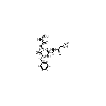 CC(C)NCC(=O)NCC(=O)N[C@@H](Cc1ccccc1)C(=O)NCC(=O)NC(C)(C)C